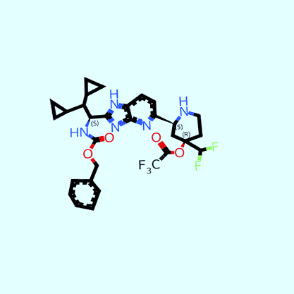 O=C(N[C@H](c1nc2nc([C@@H]3C[C@@](OC(=O)C(F)(F)F)(C(F)F)CCN3)ccc2[nH]1)C(C1CC1)C1CC1)OCc1ccccc1